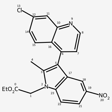 CCOC(=O)Cn1c(C)c(-c2ccnc3cc(Cl)ccc23)c2cc([N+](=O)[O-])ccc21